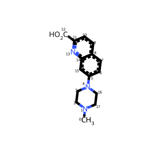 CN1CCN(c2ccc3ccc(C(=O)O)nc3c2)CC1